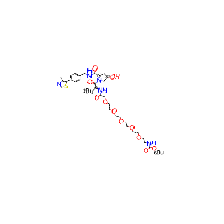 Cc1ncsc1-c1ccc(CNC(=O)[C@@H]2C[C@@H](O)CN2C(=O)[C@@H](NC(=O)COCCOCCOCCOCCOCCNC(=O)OC(C)(C)C)C(C)(C)C)cc1